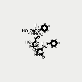 CC(NP(=O)(OC[C@H]1O[C@H](c2c[nH]c(=O)nc2NOCc2ccccc2)[C@](C)(F)[C@@H]1O)Oc1ccccc1)C(=O)O